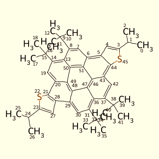 CC(C)c1cc2c3cc(C(C)(C)C)c4c(C(C)(C)C)cc5c6sc(C(C)C)cc6c6cc(C(C)(C)C)c7c(C(C)(C)C)cc(c2s1)c1c7c6c5c4c31